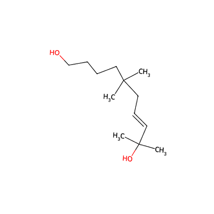 CC(C)(O)C=CCC(C)(C)CCCCO